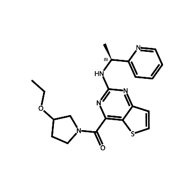 CCOC1CCN(C(=O)c2nc(N[C@@H](C)c3ccccn3)nc3ccsc23)C1